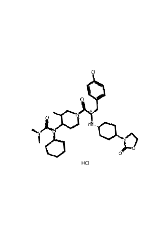 CC1CN(C(=O)[C@@H](Cc2ccc(Cl)cc2)N[C@H]2CC[C@H](N3CCOC3=O)CC2)CCC1N(C(=O)N(C)C)C1CCCCC1.Cl